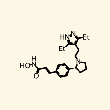 CCc1n[nH]c(CC)c1CCN1CCC[C@H]1c1ccc(C=CC(=O)NO)cc1